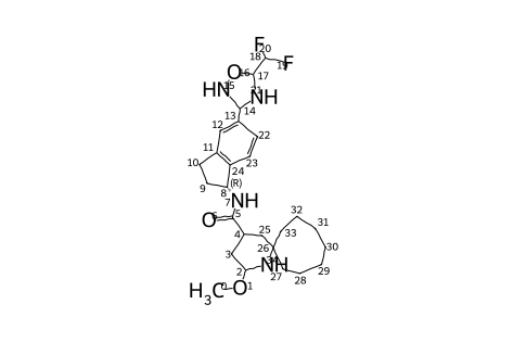 COC1CC(C(=O)N[C@@H]2CCc3cc(C4NOC(C(F)F)N4)ccc32)CC2(CCCCCCC2)N1